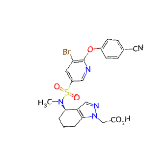 CN([C@@H]1CCCc2c1cnn2CC(=O)O)S(=O)(=O)c1cnc(Oc2ccc(C#N)cc2)c(Br)c1